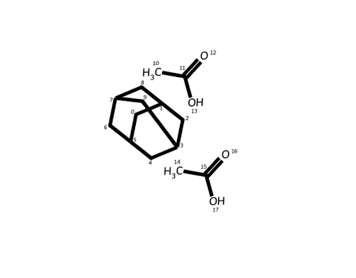 C1C2CC3CC1CC(C2)C3.CC(=O)O.CC(=O)O